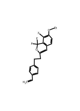 C=Cc1ccc(CCC2=Cc3ccc(OCC)c(F)c3C(F)(F)O2)cc1